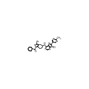 CCn1c(-c2cnc(C)nc2)nc2c(NC3CCc4c(c(C(C)C)nn4C(=O)c4ccccc4)C3)ncnc21